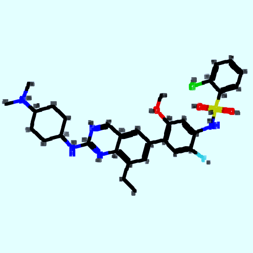 CCc1cc(-c2cc(F)c(NS(=O)(=O)c3ccccc3Cl)cc2OC)cc2cnc(NC3CCC(N(C)C)CC3)nc12